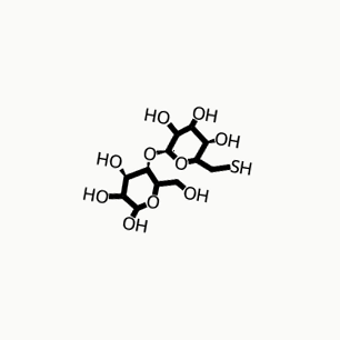 OCC1OC(O)C(O)[C@@H](O)[C@@H]1O[C@@H]1OC(CS)[C@H](O)C(O)C1O